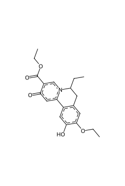 CCOC(=O)c1cn2c(cc1=O)-c1cc(O)c(OCC)cc1CC2CC